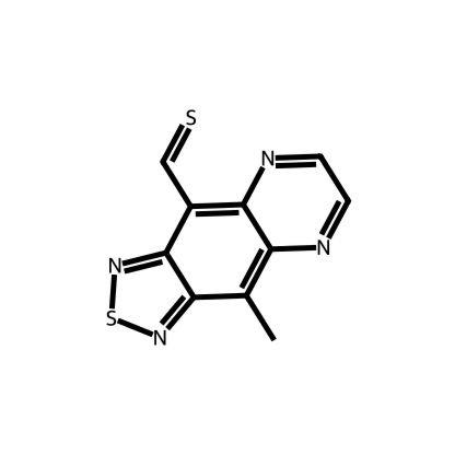 Cc1c2nccnc2c(C=S)c2nsnc12